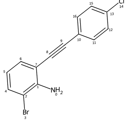 Nc1c(Br)cccc1C#Cc1ccc(Cl)cc1